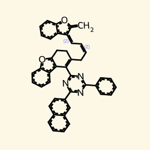 C=c1oc2ccccc2/c1=C/C=C\CC1=C(c2nc(-c3ccccc3)nc(-c3ccc4ccccc4c3)n2)c2c(oc3ccccc23)CC1